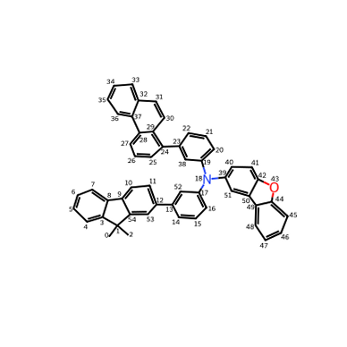 CC1(C)c2ccccc2-c2ccc(-c3cccc(N(c4cccc(-c5cccc6c5ccc5ccccc56)c4)c4ccc5oc6ccccc6c5c4)c3)cc21